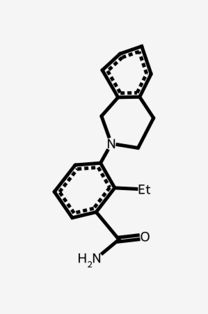 CCc1c(C(N)=O)cccc1N1CCc2ccccc2C1